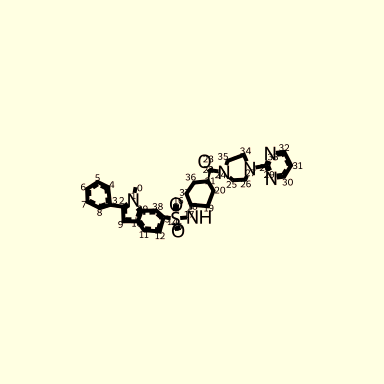 Cn1c(-c2ccccc2)cc2ccc(S(=O)(=O)N[C@H]3CC[C@H](C(=O)N4CCN(c5ncccn5)CC4)CC3)cc21